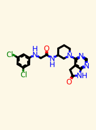 O=C1Cc2c(ncnc2N2CCCC(NC(=O)CNc3cc(Cl)cc(Cl)c3)C2)N1